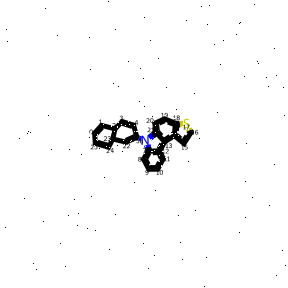 C1=CC2C=CC(n3c4ccccc4c4c5ccsc5ccc43)=CC2C=C1